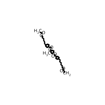 C=CC(=O)OCCCCCCc1ccc(C(=O)Oc2ccc(OC(=O)c3ccc(CCCCCCOC(=O)C=C)cc3)c(C)c2)cc1